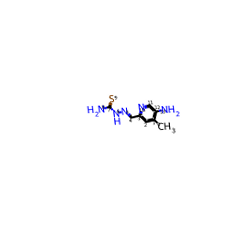 Cc1cc(C=NNC(N)=S)ncc1N